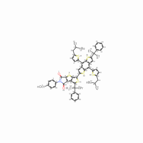 CCCCCCCCc1ccc(N2C(=O)c3sc4c(-c5cc6c(-c7ccc(CC(CC)CCCC)s7)c7sc(C(CC)(CC)c8ccccc8)cc7c(-c7ccc(CC(CC)CCCC)s7)c6s5)sc(C(C)(CCC)c5ccccc5)c4c3C2=O)cc1